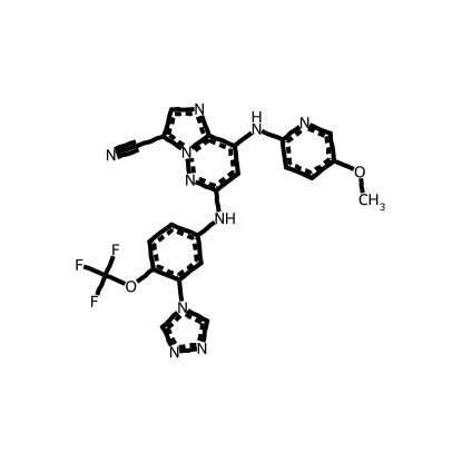 COc1ccc(Nc2cc(Nc3ccc(OC(F)(F)F)c(-n4cnnc4)c3)nn3c(C#N)cnc23)nc1